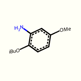 COc1ccc(OCC(C)C)c(N)c1